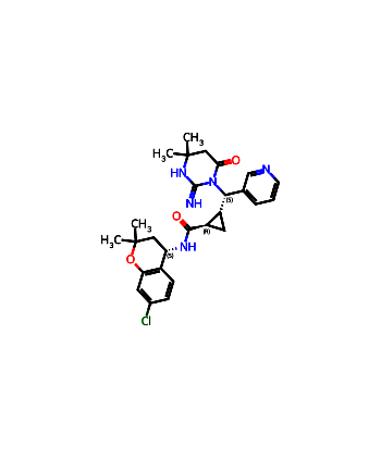 CC1(C)CC(=O)N([C@H](c2cccnc2)C2C[C@H]2C(=O)N[C@H]2CC(C)(C)Oc3cc(Cl)ccc32)C(=N)N1